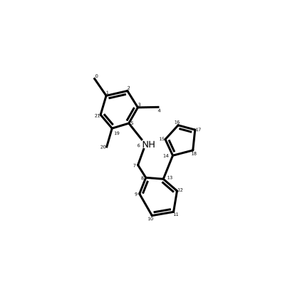 Cc1cc(C)c(NCc2ccccc2C2=CC=CC2)c(C)c1